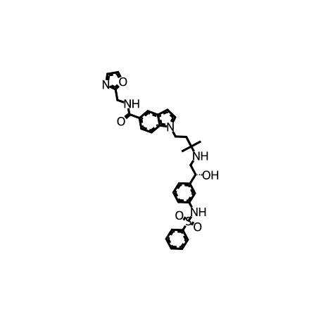 CC(C)(CCn1ccc2cc(C(=O)NCc3ncco3)ccc21)NC[C@H](O)c1cccc(NS(=O)(=O)c2ccccc2)c1